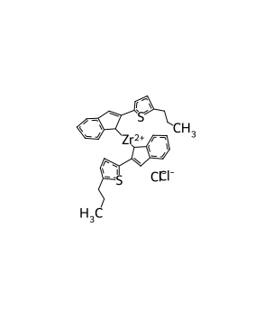 CCCc1ccc(C2=Cc3ccccc3[CH]2[Zr+2][CH]2C(c3ccc(CCC)s3)=Cc3ccccc32)s1.[Cl-].[Cl-]